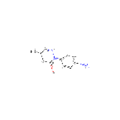 CC1C=NN(c2ccc(N)cc2)C(=O)C1